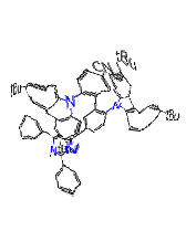 CC(C)(C)c1ccc2c(c1)c1cc(C(C)(C)C)ccc1n2-c1ccc(C#N)cc1-c1cc(-c2cc(-c3ccccc3)nc(-c3ccccc3)n2)ccc1-n1c2ccc(C(C)(C)C)cc2c2cc(C(C)(C)C)ccc21